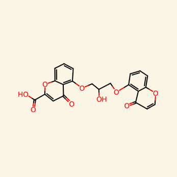 O=C(O)c1cc(=O)c2c(OCC(O)COc3cccc4occc(=O)c34)cccc2o1